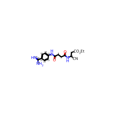 CCOC(=O)CC(C#N)NC(=O)CCC(=O)Nc1ccc(C(=N)N)cc1